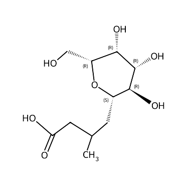 CC(CC(=O)O)C[C@@H]1O[C@H](CO)[C@H](O)[C@H](O)[C@H]1O